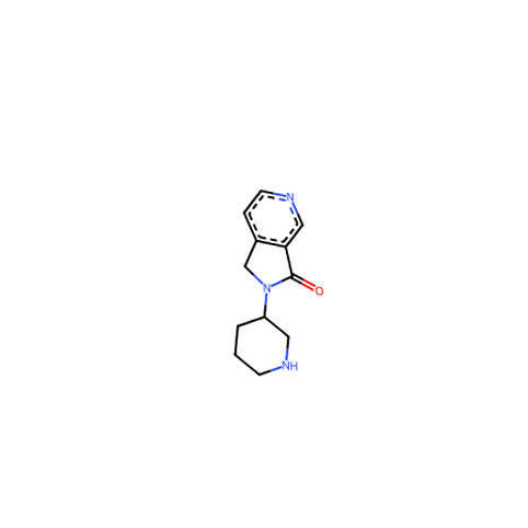 O=C1c2cnccc2CN1C1CCCNC1